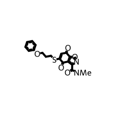 CNC(=O)c1noc2c1C(=O)C(SCCCOc1ccccc1)=CC2=O